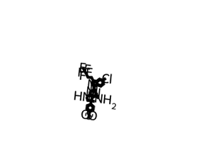 CC1(c2ccc(S(C)(=O)=O)cc2)CNc2nc(-n3nc(CCC(F)(F)C(F)(F)F)c4cc(Cl)ccc43)nc(N)c21